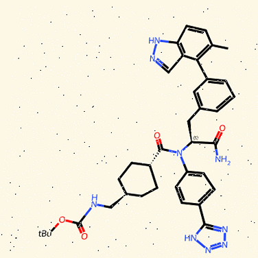 Cc1ccc2[nH]ncc2c1-c1cccc(C[C@@H](C(N)=O)N(c2ccc(-c3nnn[nH]3)cc2)C(=O)[C@H]2CC[C@H](CNC(=O)OC(C)(C)C)CC2)c1